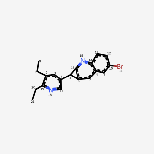 CCc1cc(C2c3cc4cc(Br)ccc4nc32)cnc1CC